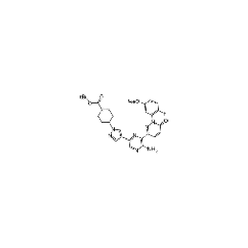 COc1ccc(F)c(-n2nc(-c3nc(-c4cnn(C5CCN(C(=O)OC(C)(C)C)CC5)c4)cnc3N)ccc2=O)c1